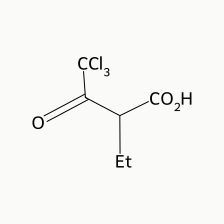 CCC(C(=O)O)C(=O)C(Cl)(Cl)Cl